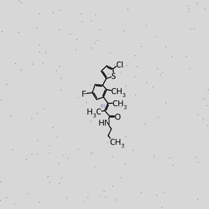 CCCNC(=O)/C(C)=C(\C)c1cc(F)cc(-c2ccc(Cl)s2)c1C